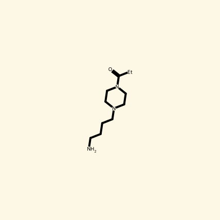 CCC(=O)N1CCN(CCCCN)CC1